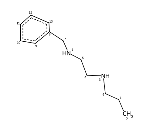 CC[CH]NCCNCc1ccccc1